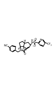 C[C@]1(NS(=O)(=O)c2ccc(C(F)(F)F)cn2)C=C2C(=O)N(Cc3ccc(C#N)cc3)[C@@H]3CC[C@H](C1)[C@]23O